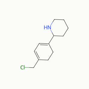 ClCC1=CC=C(C2CCCCN2)CC1